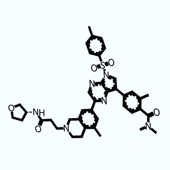 Cc1ccc(S(=O)(=O)n2cc(-c3ccc(C(=O)N(C)C)c(C)c3)c3nc(-c4cc(C)c5c(c4)CN(CCC(=O)N[C@@H]4CCOC4)CC5)cnc32)cc1